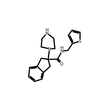 O=C(NCc1cccs1)C1(N2CCNCC2)Cc2ccccc2C1